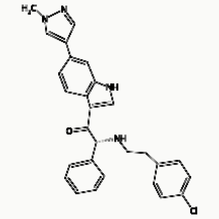 Cn1cc(-c2ccc3c(C(=O)[C@H](NCCc4ccc(Cl)cc4)c4ccccc4)c[nH]c3c2)cn1